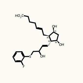 O=C(O)CCCC=CC[C@@H]1[C@@H](C=CC(O)CSc2ccccc2F)[C@H](O)C[C@@H]1O